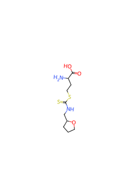 NC(CCSC(=S)NCC1CCCO1)C(=O)O